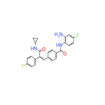 Nc1cc(F)ccc1NC(=O)c1ccc(C=C(C(=O)NC2CC2)c2ccc(F)cc2)cc1